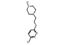 [O-][S+]1CCN(CCOc2ccc(Cl)nn2)CC1